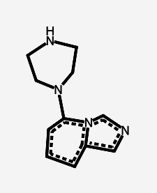 c1cc(N2CCNCC2)n2cncc2c1